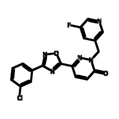 O=c1ccc(-c2nc(-c3cccc(Cl)c3)no2)nn1Cc1cncc(F)c1